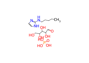 CCCCCNc1ncc[nH]1.O=CC(O)C(O)C(O)CO.O=P(O)(O)O